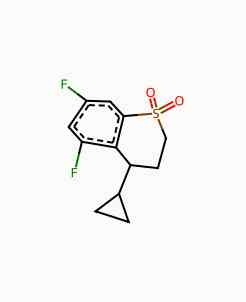 O=S1(=O)CCC(C2CC2)c2c(F)cc(F)cc21